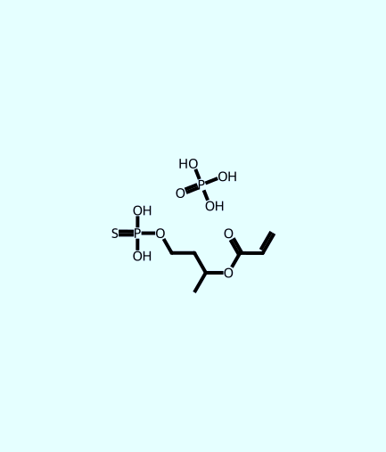 C=CC(=O)OC(C)CCOP(O)(O)=S.O=P(O)(O)O